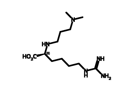 CN(C)CCCN[C@@H](CCCCNC(=N)N)C(=O)O